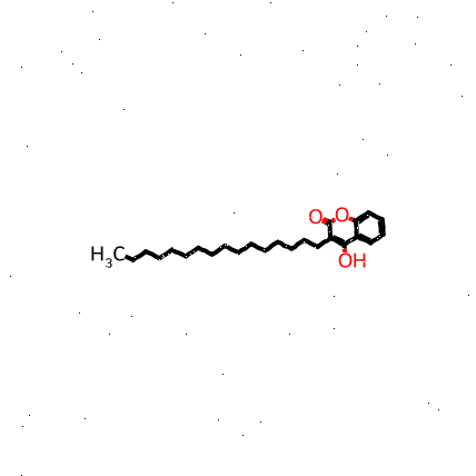 CCCCCCCCCCCCCCCCc1c(O)c2ccccc2oc1=O